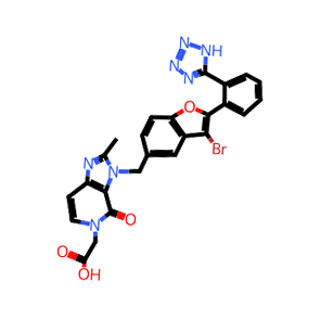 Cc1nc2ccn(CC(=O)O)c(=O)c2n1Cc1ccc2oc(-c3ccccc3-c3nnn[nH]3)c(Br)c2c1